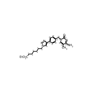 CCOC(=O)CCCCCCn1cc(-c2ccc(Cn3cc(C)c(N)nc3=O)cc2)nn1